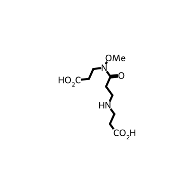 CON(CCC(=O)O)C(=O)CCNCCC(=O)O